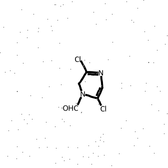 O=[C]N1CC(Cl)=NC=C1Cl